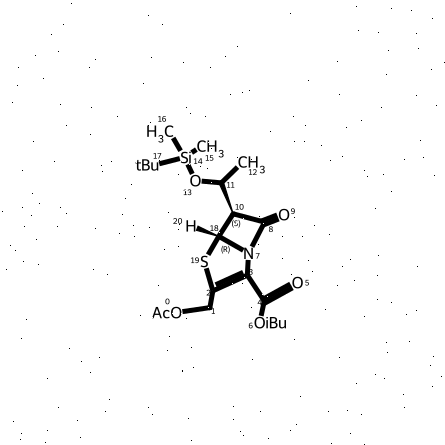 CC(=O)OCC1=C(C(=O)OCC(C)C)N2C(=O)[C@H](C(C)O[Si](C)(C)C(C)(C)C)[C@H]2S1